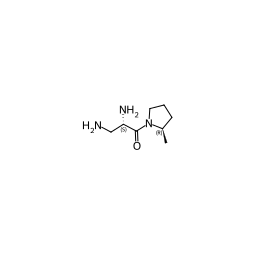 C[C@@H]1CCCN1C(=O)[C@@H](N)CN